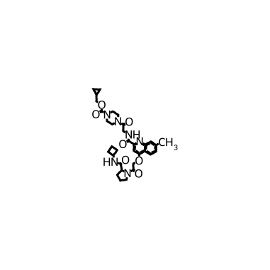 Cc1ccc2c(OCC(=O)N3CCCC3C(=O)NC3CCC3)cc(C(=O)NCC(=O)N3CCN(C(=O)OCC4CC4)CC3)nc2c1